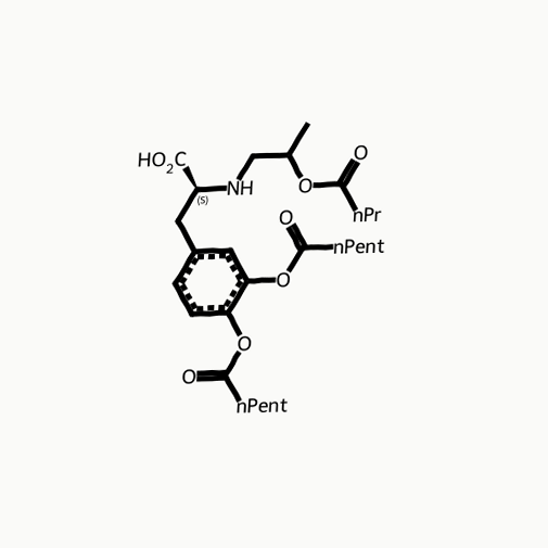 CCCCCC(=O)Oc1ccc(C[C@H](NCC(C)OC(=O)CCC)C(=O)O)cc1OC(=O)CCCCC